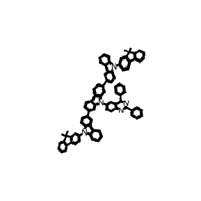 CC1(C)c2ccccc2-c2ccc(-n3c4ccccc4c4cc(-c5ccc6c7ccc(-c8ccc9c(c8)c8ccccc8n9-c8ccc9c(c8)C(C)(C)c8ccccc8-9)cc7n(-c7ccc8nc(-c9ccccc9)nc(-c9ccccc9)c8c7)c6c5)ccc43)cc21